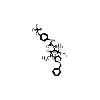 CN(C(=O)[C@@H](NC(=O)Nc1ccc(OC(F)(F)F)cc1)C(C)(C)C)[C@H]1CCN(Cc2ccccc2)C1